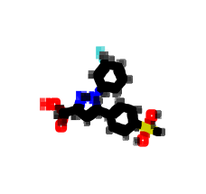 CS(=O)(=O)c1ccc(-c2cc(C(=O)O)nn2-c2cccc(F)c2)cc1